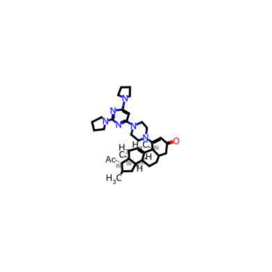 CC(=O)[C@H]1C(C)C[C@H]2[C@@H]3CCC4CC(=O)C=C(N5CCN(c6cc(N7CCCC7)nc(N7CCCC7)n6)CC5)[C@]4(C)C3=CC[C@]12C